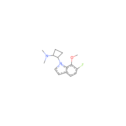 COc1c(F)ccc2ccn(C3CCC3N(C)C)c12